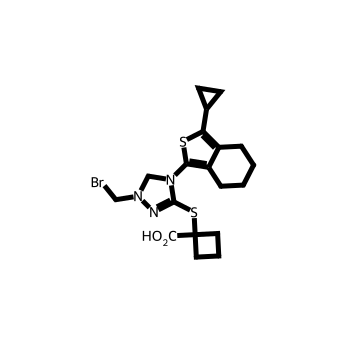 O=C(O)C1(SC2=NN(CBr)CN2c2sc(C3CC3)c3c2CCCC3)CCC1